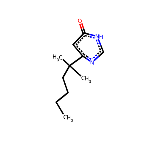 CCCCC(C)(C)c1cc(=O)[nH]cn1